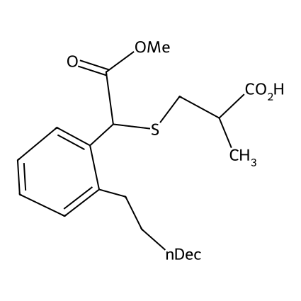 CCCCCCCCCCCCc1ccccc1C(SCC(C)C(=O)O)C(=O)OC